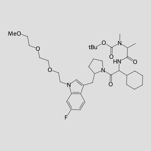 COCCOCCOCCn1cc(CC2CCCN2C(=O)C(NC(=O)C(C)N(C)C(=O)OC(C)(C)C)C2CCCCC2)c2ccc(F)cc21